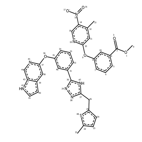 COC(=O)c1cccc(Oc2cc(C)c([N+](=O)[O-])cn2)c1.Cc1ccc(Cc2nnc(-c3cccc(Oc4cc5cc[nH]c5cn4)c3)[nH]2)s1